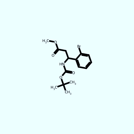 COC(=O)CC(NC(=O)OC(C)(C)C)c1ccccc1Br